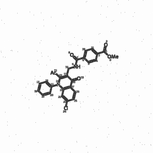 COC(=O)c1ccc(C(=O)NCc2c(C(C)=O)n(-c3ccccc3)c3cc(Cl)ccc3c2=O)cc1